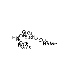 CCN(C(=O)[C@@H]1CCN(CC(=O)N2CC=C(c3ccc(C(=N)/N=C\NC)cc3)CC2)C1)c1ccc2[nH]nc(-c3cnc(OC)c(C(F)(F)F)c3)c2c1